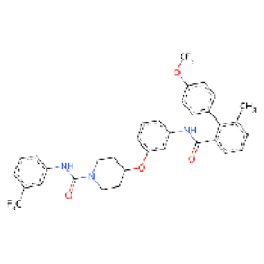 Cc1cccc(C(=O)Nc2cccc(OC3CCN(C(=O)Nc4cccc(C(F)(F)F)c4)CC3)c2)c1-c1ccc(OC(F)(F)F)cc1